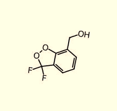 OCc1cccc2c1OOC2(F)F